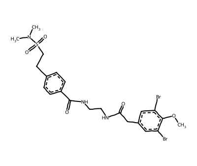 COc1c(Br)cc(CC(=O)NCCNC(=O)c2ccc(CCS(=O)(=O)N(C)C)cc2)cc1Br